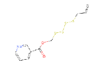 C=CCSSSSCOC(=O)c1cccnc1